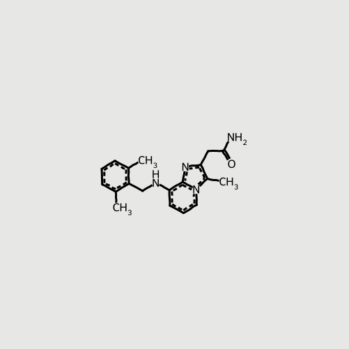 Cc1cccc(C)c1CNc1cccn2c(C)c(CC(N)=O)nc12